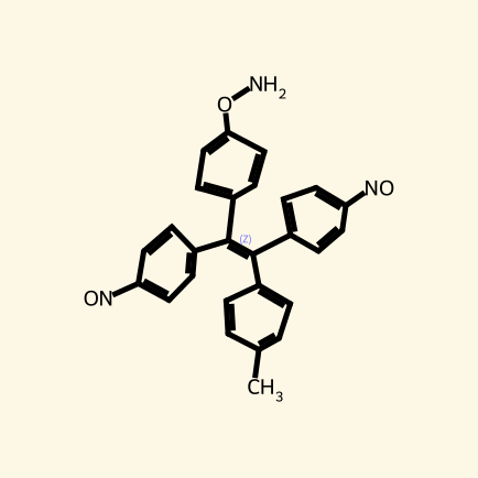 Cc1ccc(/C(=C(\c2ccc(N=O)cc2)c2ccc(ON)cc2)c2ccc(N=O)cc2)cc1